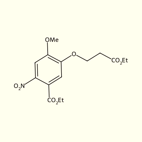 CCOC(=O)CCOc1cc(C(=O)OCC)c([N+](=O)[O-])cc1OC